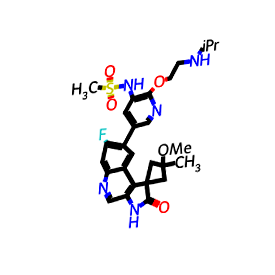 COC1(C)CC2(C1)C(=O)Nc1cnc3cc(F)c(-c4cnc(OCCNC(C)C)c(NS(C)(=O)=O)c4)cc3c12